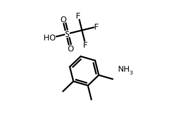 Cc1cccc(C)c1C.N.O=S(=O)(O)C(F)(F)F